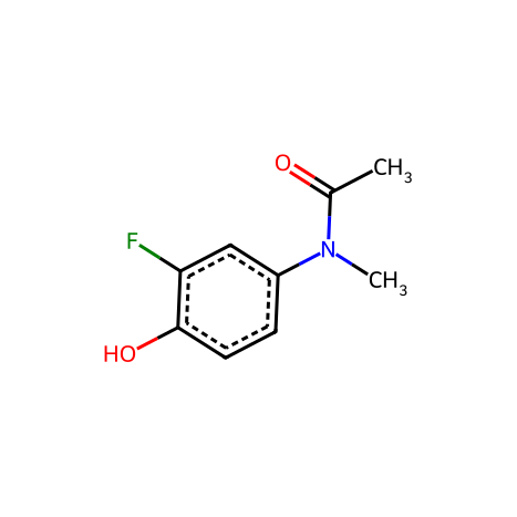 CC(=O)N(C)c1ccc(O)c(F)c1